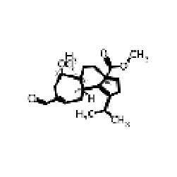 COC(=O)[C@@]12CCC(C(C)C)=C1[C@@H]1CC=C(C=O)C[C@@H](O)[C@@]1(C)CC2